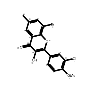 COc1ccc(-c2oc3c(Br)cc(C)cc3c(=O)c2O)cc1Cl